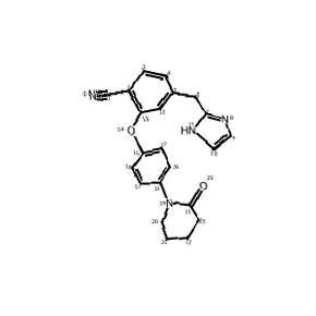 N#Cc1ccc(Cc2ncc[nH]2)cc1Oc1ccc(N2CCCCC2=O)cc1